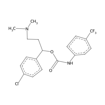 CN(C)CCC(OC(=O)Nc1ccc(C(F)(F)F)cc1)c1ccc(Cl)cc1